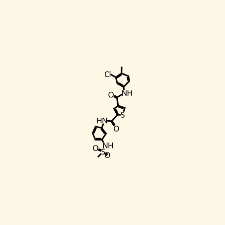 Cc1ccc(NC(=O)c2csc(C(=O)Nc3cccc(NS(C)(=O)=O)c3)c2)cc1Cl